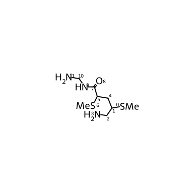 CSC(CN)CC(SC)C(=O)NCN